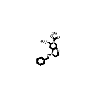 CC(C)(C)OC(=O)N1CC2=C(CC1C(=O)O)N(OCc1ccccc1)CC=N2